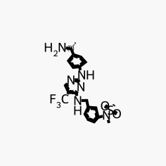 C[C@@H](N)c1ccc(Nc2ncc(C(F)(F)F)c(NCc3cccc(N(C)S(C)(=O)=O)c3)n2)cc1